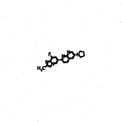 Cc1cn2cc(-c3ccc4cc(N5CCCC5)cnc4n3)cc(F)c2n1